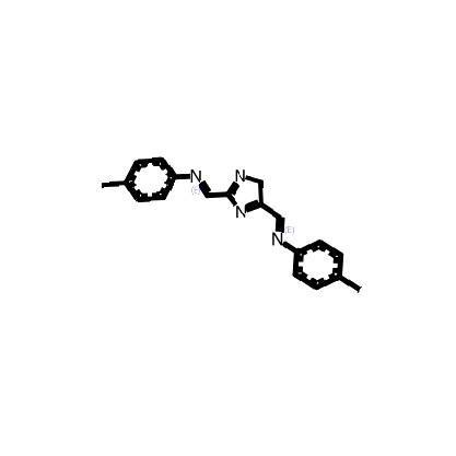 Cc1ccc(/N=C/C2=NC(/C=N/c3ccc(C)cc3)=NC2)cc1